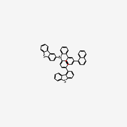 c1cc(-c2ccccc2N(c2ccc(-c3cccc4sc5ccccc5c34)cc2)c2ccc3sc4ccccc4c3c2)cc(-c2cccc3ccccc23)c1